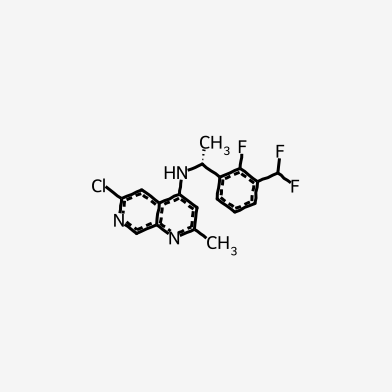 Cc1cc(N[C@H](C)c2cccc(C(F)F)c2F)c2cc(Cl)ncc2n1